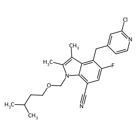 Cc1c(C)n(COCCC(C)C)c2c(C#N)cc(F)c(Cc3ccnc(Cl)c3)c12